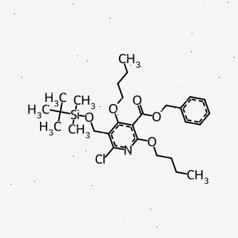 CCCCOc1nc(Cl)c(CO[Si](C)(C)C(C)(C)C)c(OCCCC)c1C(=O)OCc1ccccc1